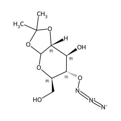 CC1(C)OC2O[C@H](CO)[C@@H](ON=[N+]=[N-])[C@H](O)[C@H]2O1